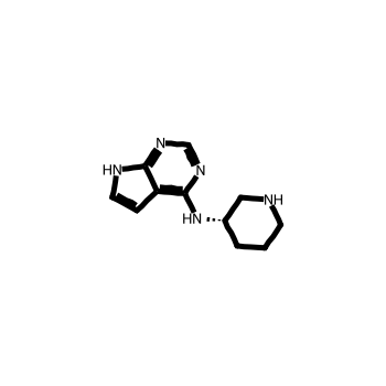 c1nc(N[C@H]2CCCNC2)c2cc[nH]c2n1